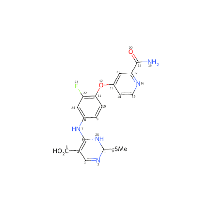 CSC1N=CC(C(=O)O)=C(Nc2ccc(Oc3ccnc(C(N)=O)c3)c(F)c2)N1